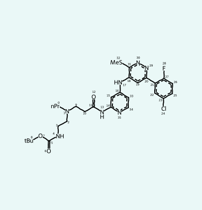 CCCN(CCNC(=O)OC(C)(C)C)CCC(=O)Nc1cc(Nc2cc(-c3cc(Cl)ccc3F)nnc2SC)ccn1